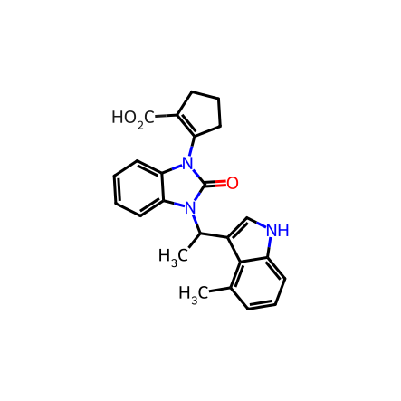 Cc1cccc2[nH]cc(C(C)n3c(=O)n(C4=C(C(=O)O)CCC4)c4ccccc43)c12